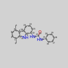 Cc1ccc(C)c2c1[nH]c1c(NC(=O)Nc3ccccc3)cccc12